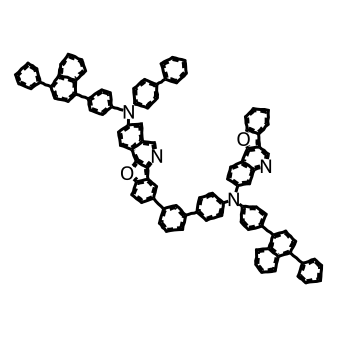 c1ccc(-c2ccc(N(c3ccc(-c4ccc(-c5ccccc5)c5ccccc45)cc3)c3ccc4c(cnc5c6cc(-c7cccc(-c8ccc(N(c9ccc(-c%10ccc(-c%11ccccc%11)c%11ccccc%10%11)cc9)c9ccc%10c(c9)ncc9c%11ccccc%11oc%109)cc8)c7)ccc6oc45)c3)cc2)cc1